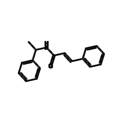 CC(NC(=O)C=Cc1ccccc1)c1ccccc1